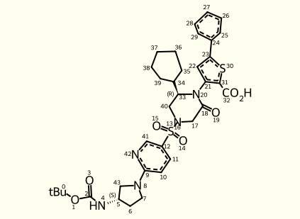 CC(C)(C)OC(=O)N[C@H]1CCN(c2ccc(S(=O)(=O)N3CC(=O)N(c4cc(-c5ccccc5)sc4C(=O)O)[C@H](C4CCCCC4)C3)cn2)C1